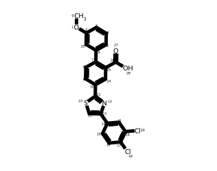 COc1cccc(-c2ccc(-c3nc(-c4ccc(Cl)c(Cl)c4)cs3)cc2C(=O)O)c1